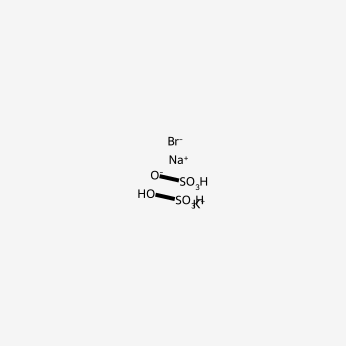 O=S(=O)(O)O.O=S(=O)([O-])O.[Br-].[K+].[Na+]